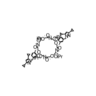 CC(C)C[C@H]1C(=O)O[C@H](Cc2cccc(Cn3nc(C4CC4)cc3C3CC3)c2)C(=O)N(C)[C@@H](CC(C)C)C(=O)O[C@H](C)C(=O)N(C)[C@@H](CC(C)C)C(=O)O[C@H](Cc2ccc(Cn3nc(C4CC4)cc3C3CC3)cc2)C(=O)N(C)[C@@H](CC(C)C)C(=O)O[C@H](C)C(=O)N1C